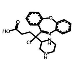 O=C(O)CCC(Cl)(C1=Nc2ccccc2Oc2ccccc21)C1CNCCN1